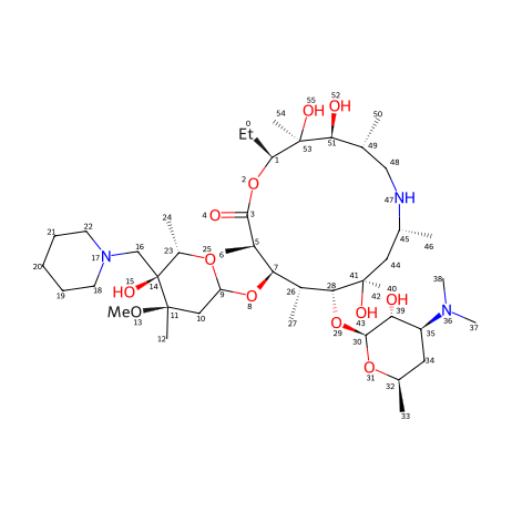 CC[C@@H]1OC(=O)[C@H](C)[C@H](OC2C[C@@](C)(OC)[C@](O)(CN3CCCCC3)[C@H](C)O2)[C@@H](C)[C@@H](O[C@@H]2O[C@H](C)C[C@H](N(C)C)[C@H]2O)[C@](C)(O)C[C@@H](C)NC[C@@H](C)[C@H](O)[C@]1(C)O